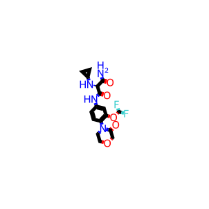 NC(=O)[C@@H](NC1CC1)C(=O)Nc1ccc(N2CCOCC2=O)c(OC(F)F)c1